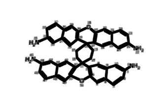 Nc1ccc2cc3c(cc2c1)C1(CCC2(CC1)c1cc4cc(N)ccc4cc1Oc1cc4ccc(N)cc4cc12)c1cc2cc(N)ccc2cc1O3